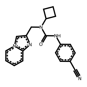 N#Cc1ccc(NC(=O)N(Cc2cn3ccccc3n2)C2CCC2)cc1